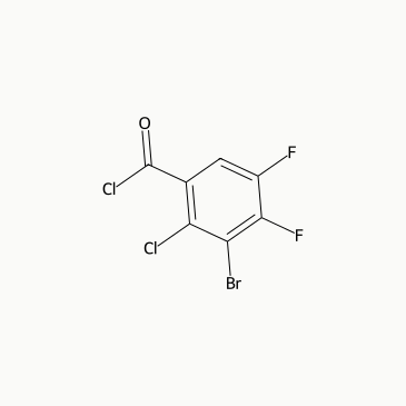 O=C(Cl)c1cc(F)c(F)c(Br)c1Cl